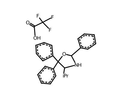 CC(C)C1NC(c2ccccc2)OC1(c1ccccc1)c1ccccc1.O=C(O)C(F)(F)F